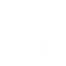 NC(=O)C1(n2cc(N)cn2)CC1